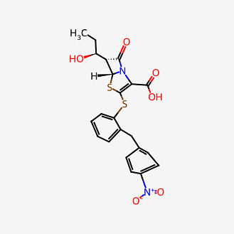 CC[C@H](O)[C@@H]1C(=O)N2C(C(=O)O)=C(Sc3ccccc3Cc3ccc([N+](=O)[O-])cc3)S[C@H]12